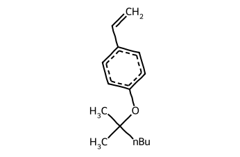 C=Cc1ccc(OC(C)(C)CCCC)cc1